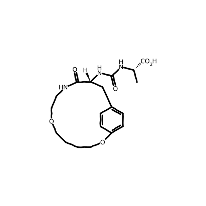 C[C@H](NC(=O)N[C@@H]1Cc2ccc(cc2)OCCCCOCCNC1=O)C(=O)O